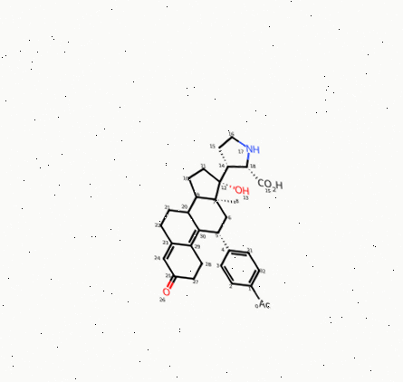 CC(=O)c1ccc([C@H]2C[C@@]3(C)C(CC[C@@]3(O)[C@@H]3CCN[C@@H]3C(=O)O)C3CCC4=CC(=O)CCC4=C32)cc1